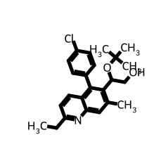 CCc1ccc2c(-c3ccc(Cl)cc3)c(C(CO)OC(C)(C)C)c(C)cc2n1